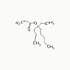 C=CC(=O)OC(CC)(CCCC)CCCCC